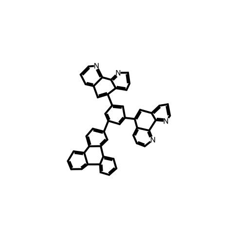 c1cnc2c(c1)cc(-c1cc(-c3ccc4c5ccccc5c5ccccc5c4c3)cc(-c3cc4cccnc4c4ncccc34)c1)c1cccnc12